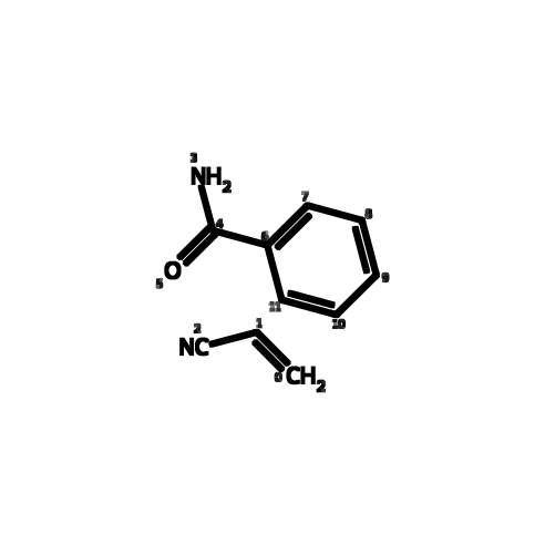 C=CC#N.NC(=O)c1ccccc1